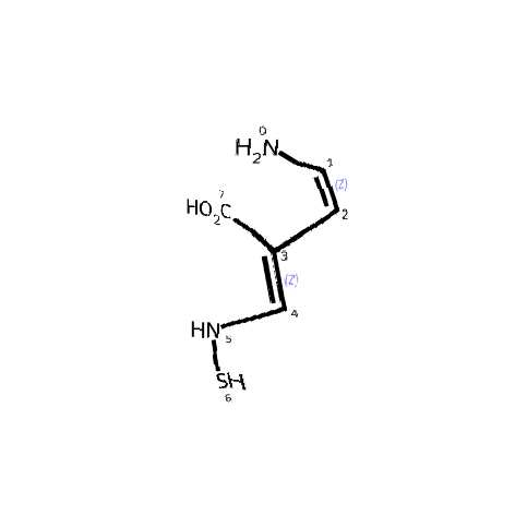 N/C=C\C(=C\NS)C(=O)O